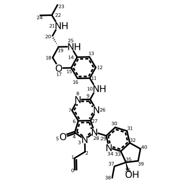 C=CCn1c(=O)c2cnc(Nc3ccc4c(c3)OC[C@H](CNC(C)C)N4)nc2n1-c1ccc2c(n1)[C@@](O)(CC)CC2